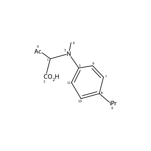 CC(=O)C(C(=O)O)N(C)c1ccc(C(C)C)cc1